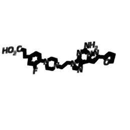 Nc1nc2c(ncn2CCN2CCN(c3ccc(CCC(=O)O)cc3F)CC2)c2cc(-c3ccco3)nn12